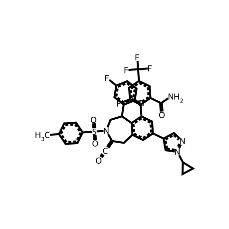 Cc1ccc(S(=O)(=O)N2CC(c3cc(F)ccc3Cl)c3c(cc(-c4cnn(C5CC5)c4)cc3-c3c(F)cc(C(F)(F)F)cc3C(N)=O)CC2=C=O)cc1